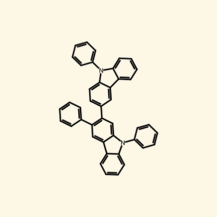 c1ccc(-c2cc3c4ccccc4n(-c4ccccc4)c3cc2-c2ccc3c(c2)c2ccccc2n3-c2ccccc2)cc1